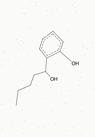 CCCCC(O)c1ccccc1O